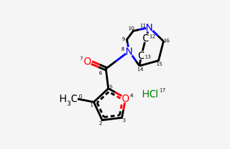 Cc1ccoc1C(=O)N1CCN2CCC1CC2.Cl